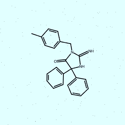 Cc1ccc(CN2C(=N)NC(c3ccccc3)(c3ccccc3)C2=O)cc1